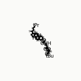 CC(C)CCCC(C)C1CC[C@H]2[C@@H]3CC=C4C[C@@H](OC(=O)NCCC(=O)OC(C)(C)COC(C)(C)C)CC[C@]4(C)[C@H]3CC[C@]12C